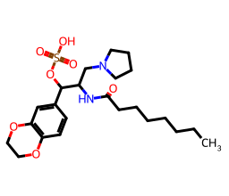 CCCCCCCC(=O)NC(CN1CCCC1)C(OS(=O)(=O)O)c1ccc2c(c1)OCCO2